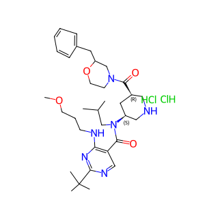 COCCCNc1nc(C(C)(C)C)ncc1C(=O)N(CC(C)C)[C@@H]1CNC[C@H](C(=O)N2CCOC(Cc3ccccc3)C2)C1.Cl.Cl